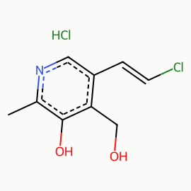 Cc1ncc(C=CCl)c(CO)c1O.Cl